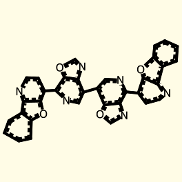 c1ccc2c(c1)oc1c(-c3ncc(-c4cnc(-c5ccnc6c5oc5ccccc56)c5ocnc45)c4ocnc34)ccnc12